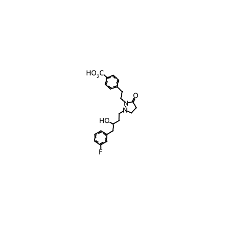 O=C(O)c1ccc(CCN2C(=O)CCN2CCC(O)Cc2cccc(F)c2)cc1